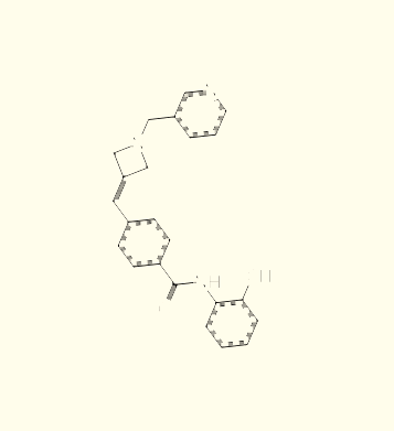 Cc1ccccc1NC(=O)c1ccc(C=C2CN(Cc3cccnc3)C2)cc1